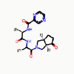 CC(C)C(NC(=O)[C@H](NC(=O)c1cnccn1)C(C)C)C(=O)N1C[C@H]2CCC(=O)[C@H]2C1